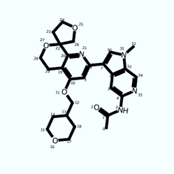 CC(=O)Nc1cc2c(-c3cc(OCC4CCOCC4)c4c(n3)C3(CCOC3)OCC4)cn(C)c2cn1